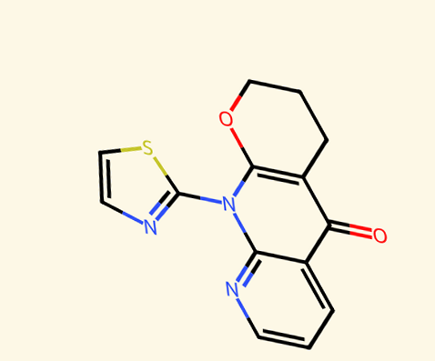 O=c1c2c(n(-c3nccs3)c3ncccc13)OCCC2